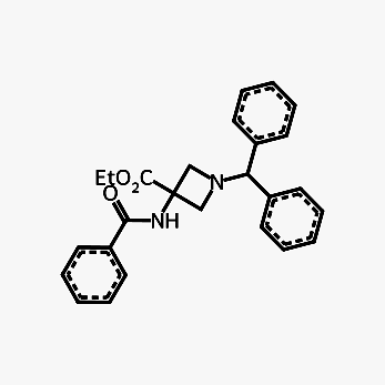 CCOC(=O)C1(NC(=O)c2ccccc2)CN(C(c2ccccc2)c2ccccc2)C1